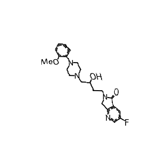 COc1ccccc1N1CCN(CC(O)CCN2Cc3ncc(F)cc3C2=O)CC1